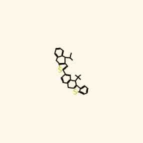 CC(C)C1c2ccccc2Cc2sc(-c3ccc4c(c3)C(C(C)(C)C)c3c(sc5ccccc35)C4)cc21